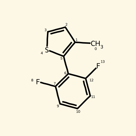 Cc1ccsc1-c1c(F)cccc1F